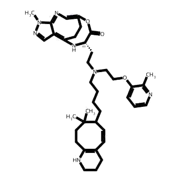 Cc1ncccc1OCCN(CCCCC1/C=C\C2=C(CCC1(C)C)NCCC2)CC[C@@H]1N\C2=c3/cnn(C)/c3=N/C=C(/CC2)OC1=O